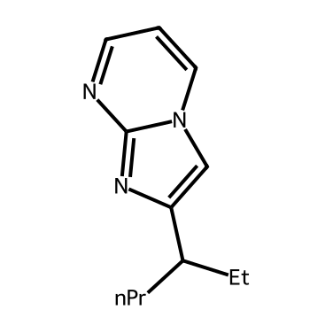 CCCC(CC)c1cn2cccnc2n1